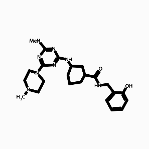 CNc1nc(NC2CCCC(C(=O)NCc3ccccc3O)C2)nc(N2CCN(C)CC2)n1